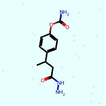 CC(CC(=O)NN)c1ccc(OC(N)=O)cc1